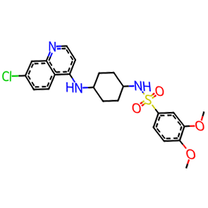 COc1ccc(S(=O)(=O)NC2CCC(Nc3ccnc4cc(Cl)ccc34)CC2)cc1OC